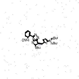 CCCCN(CCCC)c1ccc(/C=c2/c(C(C)(C)C)nn3c(-c4ccccc4OC)nnc23)s1